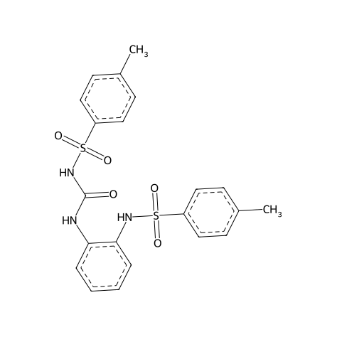 Cc1ccc(S(=O)(=O)NC(=O)Nc2ccccc2NS(=O)(=O)c2ccc(C)cc2)cc1